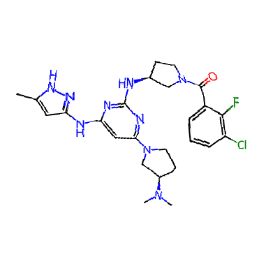 Cc1cc(Nc2cc(N3CC[C@@H](N(C)C)C3)nc(N[C@H]3CCN(C(=O)c4cccc(Cl)c4F)C3)n2)n[nH]1